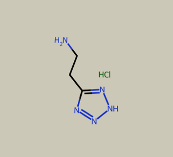 Cl.NCCc1nn[nH]n1